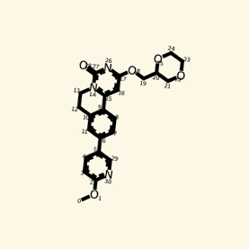 COc1ccc(-c2ccc3c(c2)CCn2c-3cc(OCC3COCCO3)nc2=O)cn1